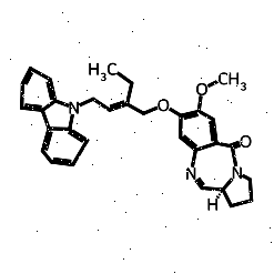 CC/C(=C\Cn1c2ccccc2c2ccccc21)COc1cc2c(cc1OC)C(=O)N1CCC[C@H]1C=N2